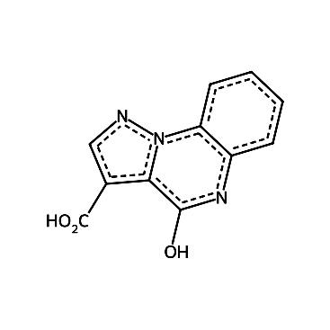 O=C(O)c1cnn2c1c(O)nc1ccccc12